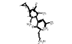 C=C(/C=C(\C(F)=C(/F)CCC(=O)OCC)c1c(C)cc(C2CC2)c(F)c1C)C(F)(F)F